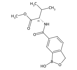 COC(=O)[C@@H](NC(=O)c1ccc2c(c1)B(O)OC2)C(C)C